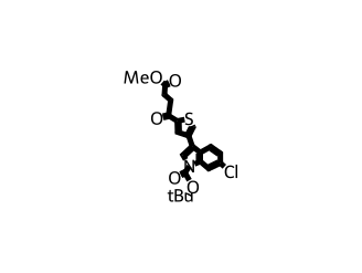 COC(=O)CCC(=O)c1cc(-c2cn(C(=O)OC(C)(C)C)c3cc(Cl)ccc23)cs1